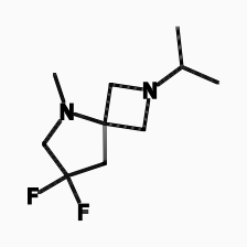 CC(C)N1CC2(C1)CC(F)(F)CN2C